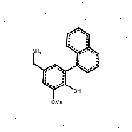 COc1cc(CN)cc(-c2cccc3ccccc23)c1O